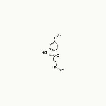 CCOc1ccc(S(=O)(=O)CCNC(C)C)cc1.Cl